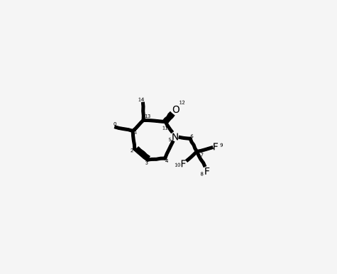 CC1C=CCN(CC(F)(F)F)C(=O)C1C